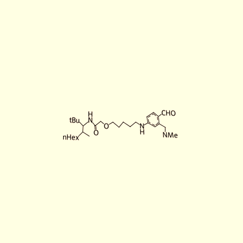 CCCCCCC(C)C(NC(=O)COCCCCCNc1ccc(C=O)c(CNC)c1)C(C)(C)C